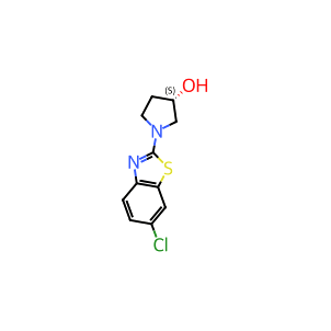 O[C@H]1CCN(c2nc3ccc(Cl)cc3s2)C1